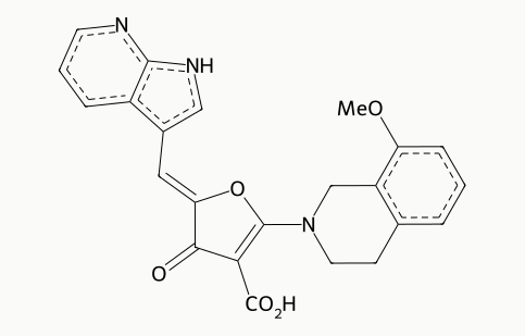 COc1cccc2c1CN(C1=C(C(=O)O)C(=O)C(=Cc3c[nH]c4ncccc34)O1)CC2